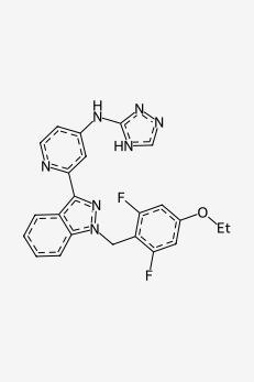 CCOc1cc(F)c(Cn2nc(-c3cc(Nc4nnc[nH]4)ccn3)c3ccccc32)c(F)c1